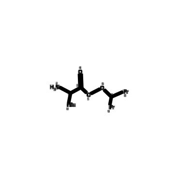 CCCCC([SiH3])C(=O)OOC(C(C)C)C(C)C